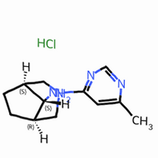 Cc1cc(N2C[C@H]3CC[C@@H](C2)[C@@H]3N)ncn1.Cl